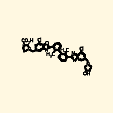 Cc1c(-c2nc3c(Cl)cc(CN4CC[C@@H](O)C4)cn3n2)cccc1-c1cccc(-c2nc3cc(CN4CC[C@@H](C(=O)O)C4)cc(Cl)c3o2)c1C